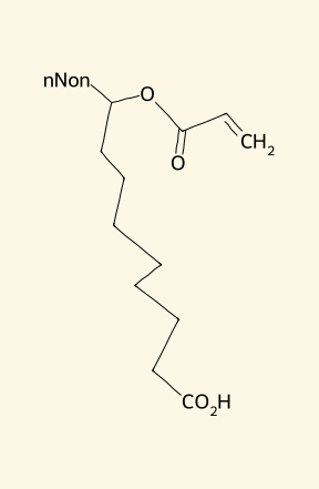 C=CC(=O)OC(CCCCCCCCC)CCCCCCCC(=O)O